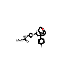 COC(=O)NC1CN(C(=O)CC2(c3ccc(F)cc3)C3CC4CC2CC(C3)O4)C1